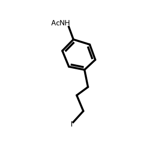 CC(=O)Nc1ccc(CCCI)cc1